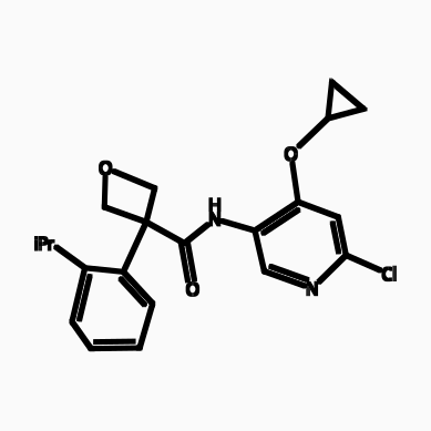 CC(C)c1ccccc1C1(C(=O)Nc2cnc(Cl)cc2OC2CC2)COC1